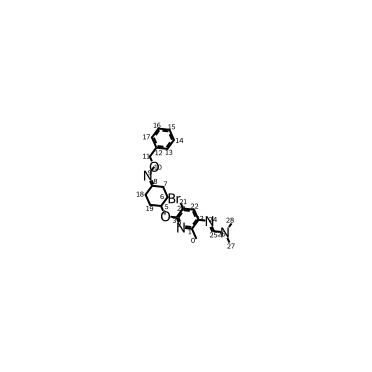 Cc1nc(OC2CCC(=NOCc3ccccc3)CC2)c(Br)cc1/N=C/N(C)C